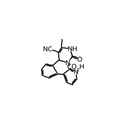 CC1=C(C#N)C(c2ccccc2-c2cccnc2)N(C(=O)O)C(=O)N1